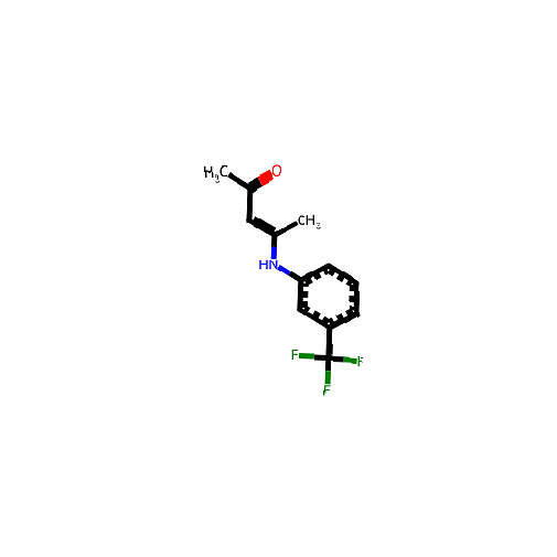 CC(=O)/C=C(\C)Nc1cccc(C(F)(F)F)c1